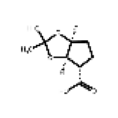 CC1(C)O[C@H]2[C@H](CC[C@@H]2C(=O)O)O1